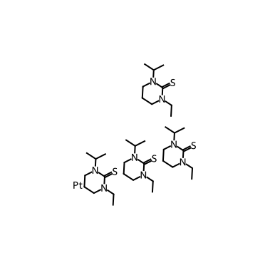 CCN1CCCN(C(C)C)C1=S.CCN1CCCN(C(C)C)C1=S.CCN1CCCN(C(C)C)C1=S.CCN1CCCN(C(C)C)C1=S.[Pt]